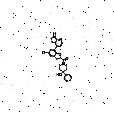 O=C([C@H]1Cc2cc(Cl)cc(-c3ccnc4[nH]ccc34)c2O1)N1CCC(O)(c2ccccc2)CC1